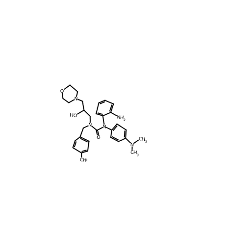 [CH]c1ccc(CN(CC(O)CN2CCOCC2)C(=O)N(c2ccc(N(C)C)cc2)c2ccccc2N)cc1